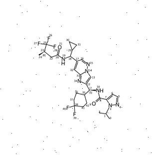 CC(C)n1nccc1C(=O)N[C@H](c1cn2ncc(C(NC(=O)C[C@@H](C)C(F)(F)F)C3CC3)cc2n1)C1CCC(F)(F)CC1